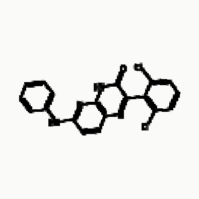 O=c1[nH]c2nc(Nc3ccccc3)ccc2nc1-c1c(Cl)cccc1Cl